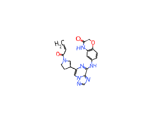 C=CC(=O)N1CCC(c2cn3ncnc3c(Nc3ccc4c(c3)NC(=O)CO4)n2)C1